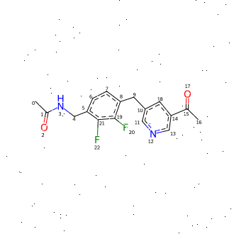 CC(=O)NCc1ccc(Cc2cncc(C(C)=O)c2)c(F)c1F